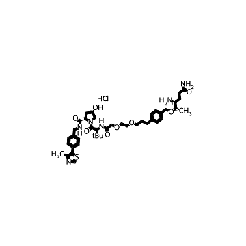 Cc1ncsc1-c1ccc(CNC(=O)[C@@H]2C[C@@H](O)CN2C(=O)[C@@H](NC(=O)COCCOCCCc2ccc(CO[C@H](C)[C@@H](N)CCC(N)=O)cc2)C(C)(C)C)cc1.Cl